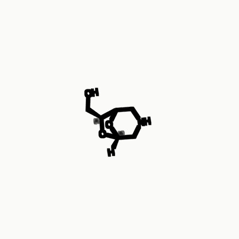 OC[C@@H]1O[C@H]2CNCC1O2